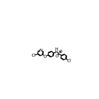 O=S(=O)(Nc1ccc(Oc2cncc(Cl)c2)cc1)c1ccc(Cl)cc1